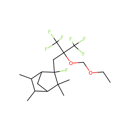 CCOCOC(CC1(F)C2CC(C(C)C2C)C1(C)C)(C(F)(F)F)C(F)(F)F